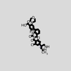 CN/C=C(\C=N)c1cc(Cl)c(C(=O)N2Cc3cccc(-c4cc(N5CCOCC5)c(C(=O)O)cc4F)c3NC2=O)c(Cl)c1